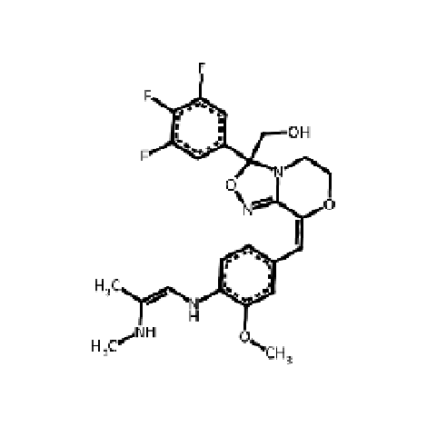 CN/C(C)=C\Nc1ccc(/C=C2/OCCN3C2=NOC3(CO)c2cc(F)c(F)c(F)c2)cc1OC